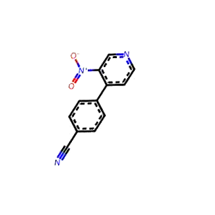 N#Cc1ccc(-c2ccncc2[N+](=O)[O-])cc1